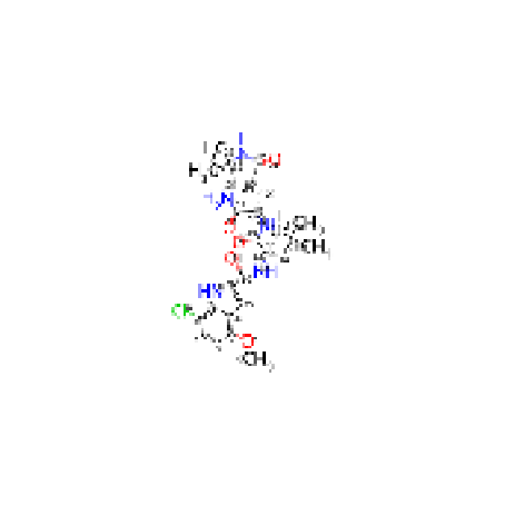 COc1ccc(Cl)c2[nH]c(C(=O)N[C@@H](CC(C)(C)C)C(=O)N[C@@H](C[C@@H]3CC(C)(C)NC3=O)C(N)=O)cc12